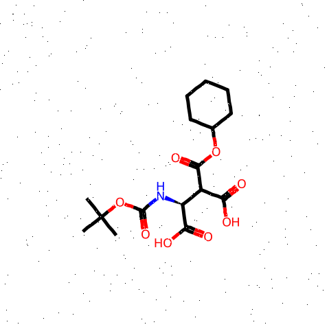 CC(C)(C)OC(=O)N[C@H](C(=O)O)C(C(=O)O)C(=O)OC1CCCCC1